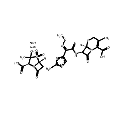 CC1(C)[C@H](C(=O)O)N2C(=O)C[C@H]2S1(=O)=O.CO/N=C(\C(=O)N[C@@H]1C(=O)N2C(C(=O)O)=C(C)CS[C@H]12)c1csc(N)n1.[NaH].[NaH]